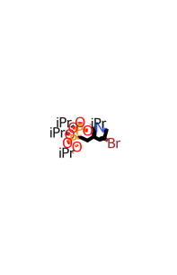 CC(C)OP(=O)(OC(C)C)C(Cc1cncc(Br)c1)P(=O)(OC(C)C)OC(C)C